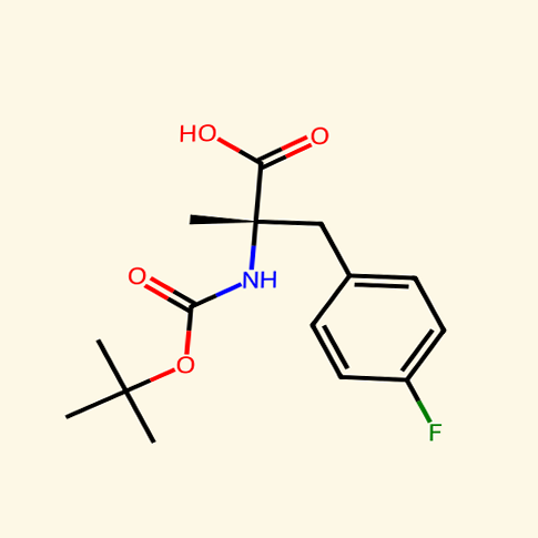 CC(C)(C)OC(=O)N[C@@](C)(Cc1ccc(F)cc1)C(=O)O